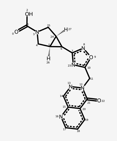 O=C(O)N1C[C@@H]2C(c3noc(Cn4ncc5ncccc5c4=O)n3)[C@@H]2C1